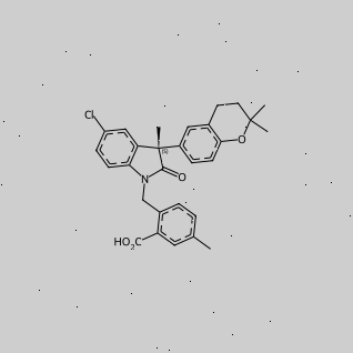 Cc1ccc(CN2C(=O)[C@@](C)(c3ccc4c(c3)CCC(C)(C)O4)c3cc(Cl)ccc32)c(C(=O)O)c1